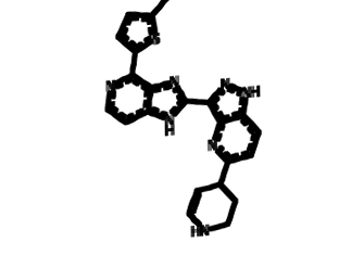 Cc1ccc(-c2nccc3[nH]c(-c4n[nH]c5ccc(C6C=CNCC6)nc45)nc23)s1